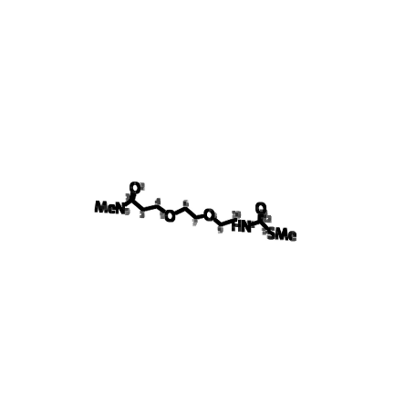 CNC(=O)CCOCCOCCNC(=O)SC